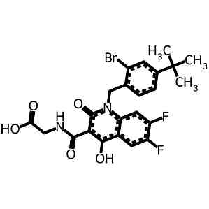 CC(C)(C)c1ccc(Cn2c(=O)c(C(=O)NCC(=O)O)c(O)c3cc(F)c(F)cc32)c(Br)c1